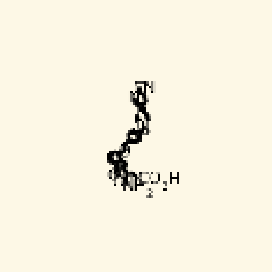 C[C@H](c1ccc(COc2cccc3c2CN([C@@H](CCC(=O)O)C(N)=O)C3=O)cc1)N1CCN(c2ccc(C#N)nc2)CC1